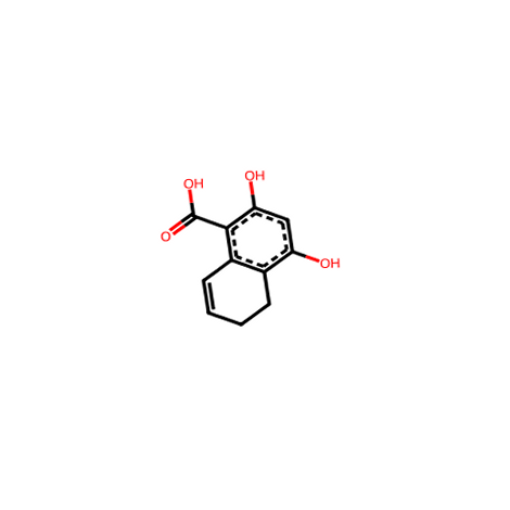 O=C(O)c1c(O)cc(O)c2c1C=CCC2